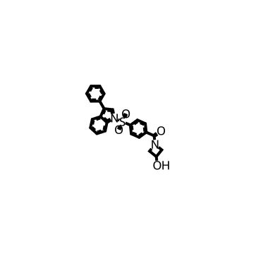 O=C(c1ccc(S(=O)(=O)n2cc(-c3ccccc3)c3ccccc32)cc1)N1CC(O)C1